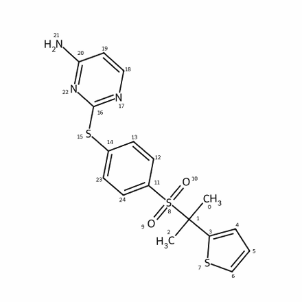 CC(C)(c1cccs1)S(=O)(=O)c1ccc(Sc2nccc(N)n2)cc1